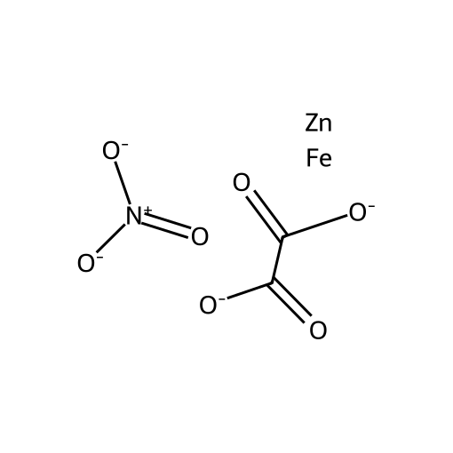 O=C([O-])C(=O)[O-].O=[N+]([O-])[O-].[Fe].[Zn]